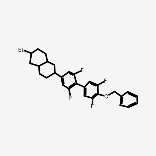 CCC1CCC2CC(c3cc(F)c(-c4cc(F)c(OCc5ccccc5)c(F)c4)c(F)c3)CCC2C1